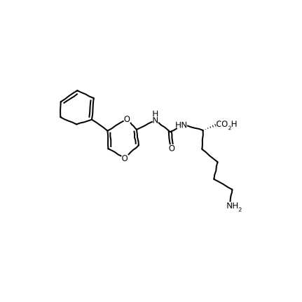 NCCCC[C@H](NC(=O)NC1=COC=C(C2=CC=CCC2)O1)C(=O)O